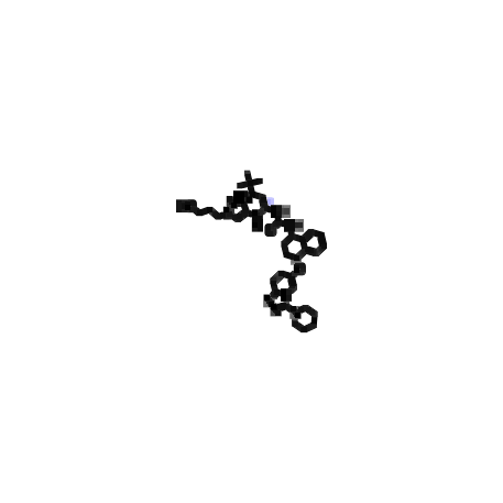 CC(C)(C)C(=N)/C=C(/NC(=O)NC1CC[C@@H](Oc2ccc3nnc(N4CCCCC4)n3c2)c2ccccc21)Nc1cnn(CCCO)c1